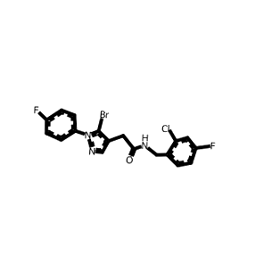 O=C(Cc1cnn(-c2ccc(F)cc2)c1Br)NCc1ccc(F)cc1Cl